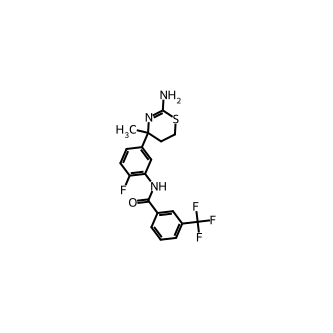 CC1(c2ccc(F)c(NC(=O)c3cccc(C(F)(F)F)c3)c2)CCSC(N)=N1